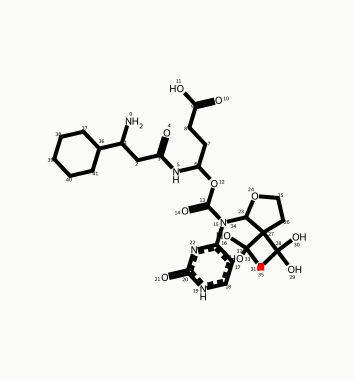 NC(CC(=O)NC(CCC(=O)O)OC(=O)N(c1cc[nH]c(=O)n1)C1OCCC1(C(O)(O)F)C(O)(O)F)C1CCCCC1